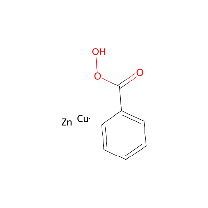 O=C(OO)c1ccccc1.[Cu].[Zn]